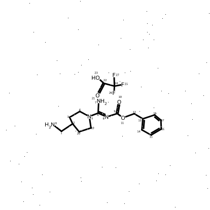 NCC1CCN(/C(N)=N/C(=O)OCc2ccccc2)CC1.O=C(O)C(F)(F)F